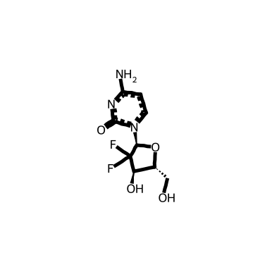 Nc1ccn([C@H]2O[C@H](CO)[C@@H](O)C2(F)F)c(=O)n1